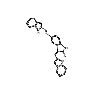 O=C1Nc2ccc(N=Cc3cc4ccccc4[nH]3)cc2C1=Cc1cc2ccccc2[nH]1